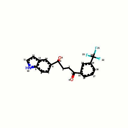 O=C(CCC(=O)c1ccc2[nH]ccc2c1)c1cccc(C(F)(F)F)c1